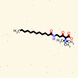 CCCCCCCCCCCC(=O)NCCC(=O)C(C(=O)[O-])[N+](C)(C)C